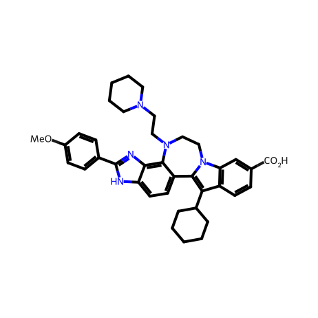 COc1ccc(-c2nc3c4c(ccc3[nH]2)-c2c(C3CCCCC3)c3ccc(C(=O)O)cc3n2CCN4CCN2CCCCC2)cc1